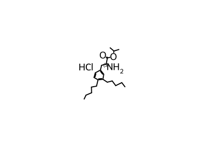 CCCCCc1ccc(C[C@H](N)C(=O)OC(C)C)cc1CCCCC.Cl